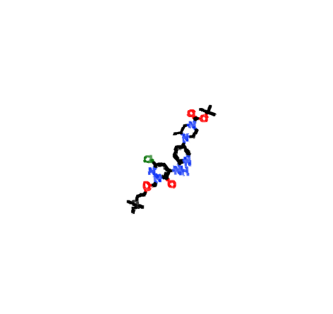 CC1CN(C(=O)OC(C)(C)C)CCN1c1ccc(Nc2cc(Cl)nn(COCC[Si](C)(C)C)c2=O)nc1